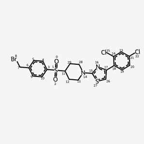 O=S(=O)(c1ccc(CBr)cc1)C1CCN(c2nc(-c3ccc(Cl)cc3Cl)cs2)CC1